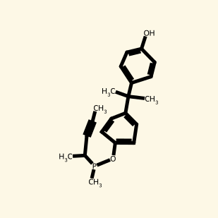 CC#CC(C)P(C)Oc1ccc(C(C)(C)c2ccc(O)cc2)cc1